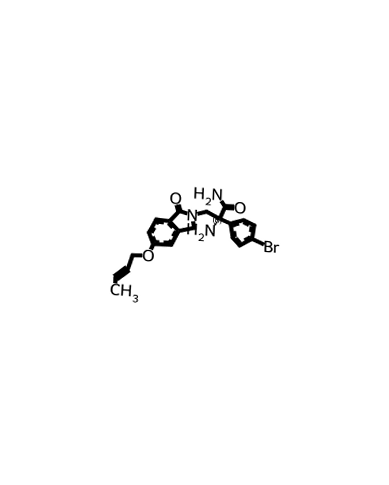 CC#CCOc1ccc2c(c1)CN(C[C@@](N)(C(N)=O)c1ccc(Br)cc1)C2=O